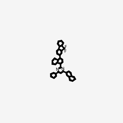 FC1(F)c2ccccc2-c2ccc(-c3ccc(-c4nc(-c5ccccc5)cc(-c5ccc6ccccc6c5)n4)c4ccccc34)cc21